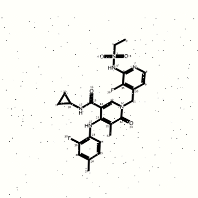 CCS(=O)(=O)Nc1nccc(Cn2cc(C(=O)NC3CC3)c(Nc3ccc(C)cc3F)c(C)c2=O)c1F